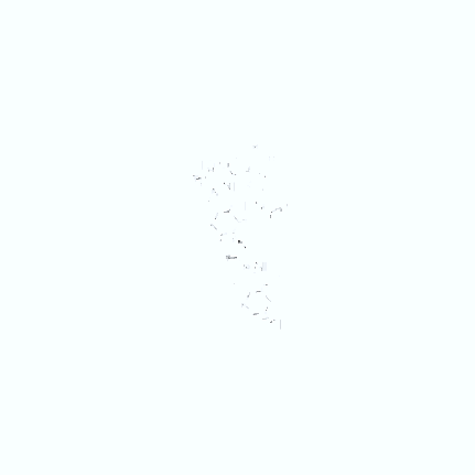 CC(=O)NCCC1(C(=O)N[C@@H](Cc2ccc(NC(=O)[C@H](N)Cc3ccc(Cl)cc3)cc2)C(=O)O)CCCC1